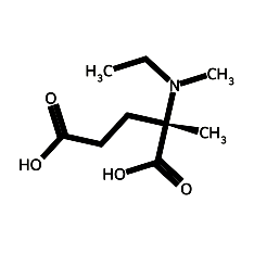 CCN(C)[C@@](C)(CCC(=O)O)C(=O)O